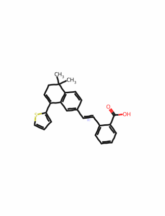 CC1(C)CC=C(c2cccs2)c2cc(/C=C/c3ccccc3C(=O)O)ccc21